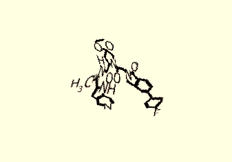 C[C@@H](NC(=O)C1CC2(CN1C(=O)CN1Cc3cc(-c4ccc(F)cc4)ccc3C1=O)OCCO2)c1cc2cnccc2[nH]1